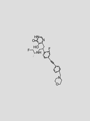 C[C@H](CF)NCC(Cc1nc[nH]c(=O)c1O)c1ccc(C#Cc2ccc(CN3CCOCC3)cc2)cc1F